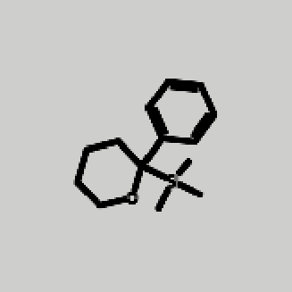 C[Si](C)(C)C1(c2ccccc2)CCCCO1